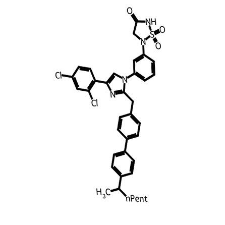 CCCCCC(C)c1ccc(-c2ccc(Cc3nc(-c4ccc(Cl)cc4Cl)cn3-c3cccc(N4CC(=O)NS4(=O)=O)c3)cc2)cc1